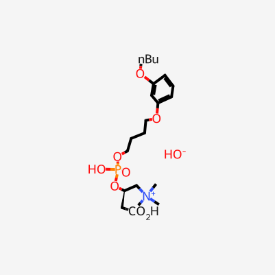 CCCCOc1cccc(OCCCCOP(=O)(O)O[C@H](CC(=O)O)C[N+](C)(C)C)c1.[OH-]